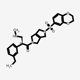 CCc1cccc([C@@H](CNC)C(=O)N2CC3=C(C2)CN(S(=O)(=O)c2ccc4c(c2)OCCO4)C3)c1